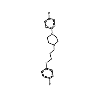 Fc1ccc(SCCCN2CCN(c3ncc(F)cn3)CC2)cc1